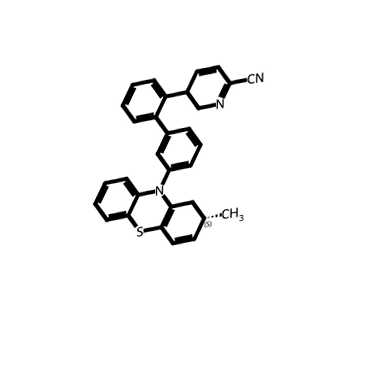 C[C@@H]1C=CC2=C(C1)N(c1cccc(-c3ccccc3C3C=CC(C#N)=NC3)c1)c1ccccc1S2